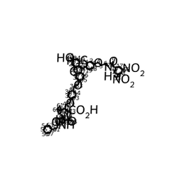 Cc1cc(OCCNC(=O)c2cc([N+](=O)[O-])cc([N+](=O)[O-])c2)ccc1C1=C2C=CC(O)C=C2Oc2cc(OCc3ccc(OCC4=C(C(=O)O)N5C(=O)[C@@H](NC(=O)Cc6ccccc6)[C@H]5SC45CC5)cc3)ccc21